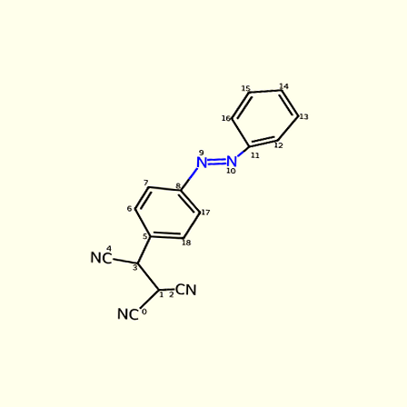 N#CC(C#N)C(C#N)c1ccc(N=Nc2ccccc2)cc1